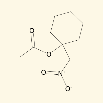 CC(=O)OC1(C[N+](=O)[O-])CCCCC1